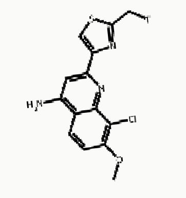 COc1ccc2c(N)cc(-c3csc(CF)n3)nc2c1Cl